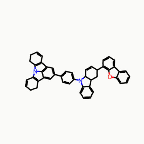 C1=Cc2c(c3cc(-c4ccc(N5c6ccccc6C6CC(c7cccc8c7oc7ccccc78)C=CC65)cc4)cc4c5c(n2c43)CCC=C5)CC1